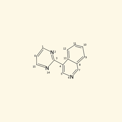 c1cnc(-c2cncc3ccccc23)nc1